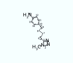 Cn1cnnc1SCCSc1ccc(N)cc1